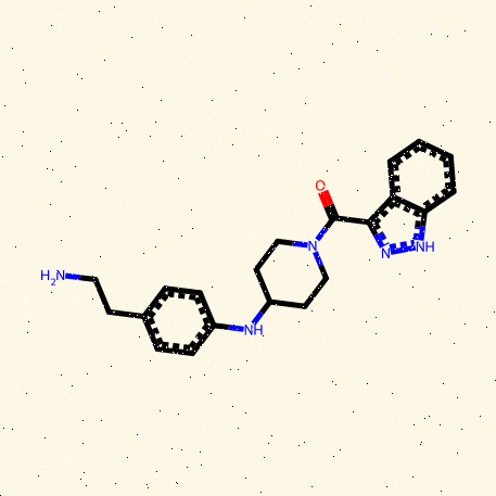 NCCc1ccc(NC2CCN(C(=O)c3n[nH]c4ccccc34)CC2)cc1